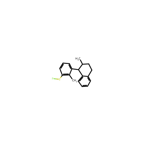 Cc1c(SF)cccc1C1c2ccccc2CCC1C